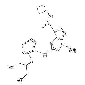 CNc1cc(Nc2cccnc2OC(CO)CO)nc2c(C(=O)NC3CCC3)cnn12